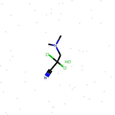 CN(C)CC(Cl)(Cl)C#N.Cl